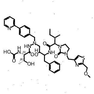 CCC(C)C(C(=O)NC(Cc1ccccc1)C(O)CN(Cc1ccc(-c2ccccn2)cc1)NC(=O)[C@@H](NC(=O)O)[C@@H](C)O)N1CCN(Cc2csc(COC)n2)C1=O